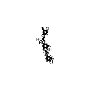 CC1C[C@H](NCC(O)COc2ccc(Cl)c(F)c2)CC(C)[C@H]1NC(=O)COc1ccc(Cl)c(F)c1